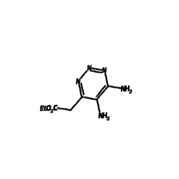 CCOC(=O)Cc1nnnc(N)c1N